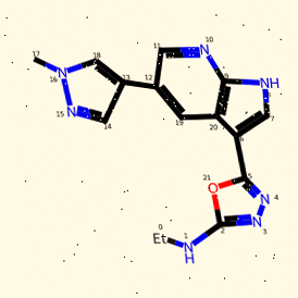 CCNc1nnc(-c2c[nH]c3ncc(-c4cnn(C)c4)cc23)o1